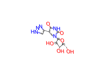 O=c1[nH]c(=O)n([C@@H]2O[C@H](CO)C(O)[C@@H]2O)cc1-c1c[nH]nn1